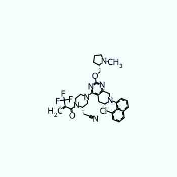 C=C(C(=O)N1CCN(c2nc(OC[C@@H]3CCCN3C)nc3c2CCN(c2cccc4cccc(Cl)c24)C3)C[C@@H]1CC#N)C(F)(F)F